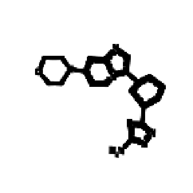 Nc1nnc(-c2cccc(-c3cnc4cc(N5CCOCC5)ccn34)c2)s1